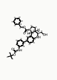 CC(C)(C)OC(=O)Nc1cccc(-c2ccc3c(c2)[C@H]2[C@H](CCN2C(=O)OCc2ccccc2)[C@@H](CO)N3)c1